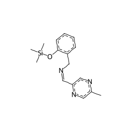 Cc1cnc(/C=N\Cc2ccccc2O[Si](C)(C)C)cn1